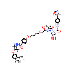 Cc1ncoc1-c1ccc(CNC(=O)[C@@H]2C[C@@H](O)CN2C(=O)[C@@H](NC(=O)COCCCCCOc2ccc(C(=O)N[C@H]3C(C)(C)[C@H](Oc4ccc(C#N)c(C(F)(F)F)c4)C3(C)C)cc2)C(C)(C)C)cc1